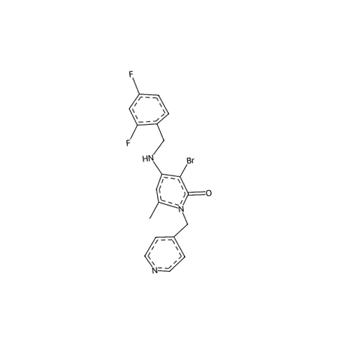 Cc1cc(NCc2ccc(F)cc2F)c(Br)c(=O)n1Cc1ccncc1